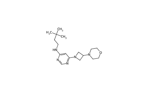 CC(C)(C)CCNc1cc(N2CC(N3CCOCC3)C2)ncn1